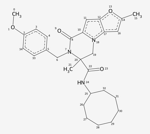 COc1ccc(CN2C(=O)c3cc4oc(C)cc4n3CC2(C)C(=O)NC2CCCCCCC2)cc1